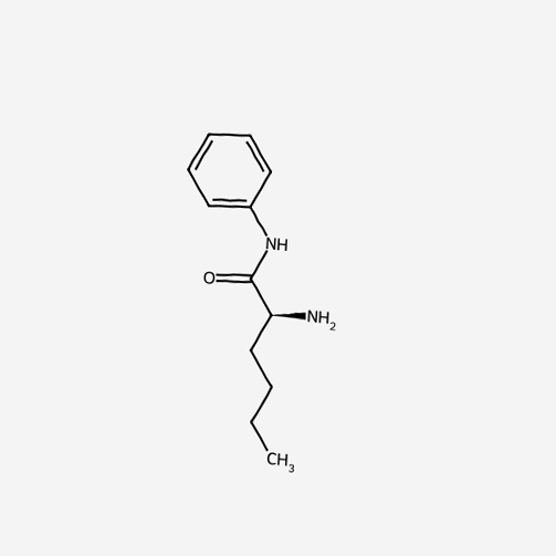 CCCC[C@H](N)C(=O)Nc1ccccc1